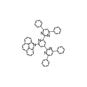 c1ccc(-c2cc(-c3ccccc3)nc(-c3cc(-c4nc(-c5ccccc5)cc(-c5ccccc5)n4)nc(-n4c5cccc6ccc7cccc4c7c65)c3)n2)cc1